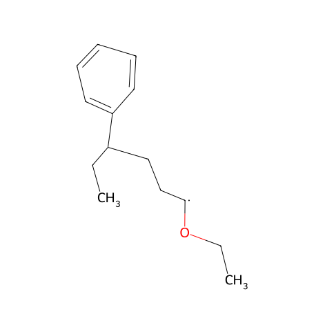 CCO[CH]CCC(CC)c1ccccc1